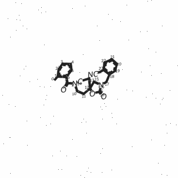 Cc1ccccc1C(=O)N1CCC2(CC1)CN(Cc1ccccc1C#N)C(=O)O2